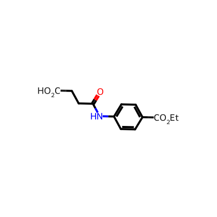 CCOC(=O)c1ccc(NC(=O)CCC(=O)O)cc1